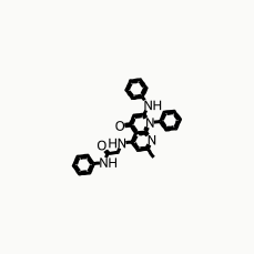 Cc1cc(NCC(=O)Nc2ccccc2)c2c(=O)cc(Nc3ccccc3)n(-c3ccccc3)c2n1